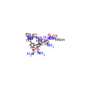 CCCCCCCCCC(=O)N[C@H](C)C(=O)NCC(=O)N[C@@H](CCN)C(=O)N(C)[C@@H]1C(=O)N[C@@H](C)C(=O)N[C@H](C(=O)NCC#N)Cc2ccc(OCCN)c(c2)-c2cc1ccc2OCCN